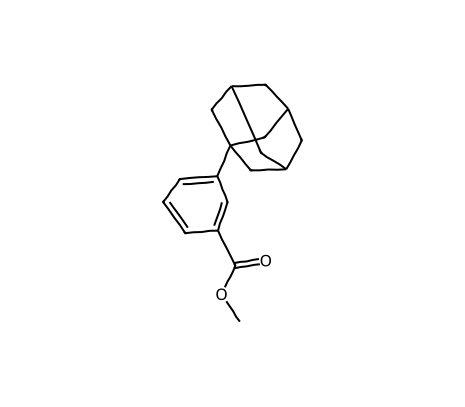 COC(=O)c1cccc(C23CC4CC(CC(C4)C2)C3)c1